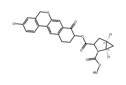 CC(C)(C)OC(=O)N1C(C(=O)OC2CCc3cc4c(cc3C2=O)OCc2cc(Cl)ccc2-4)C[C@H]2C[C@H]21